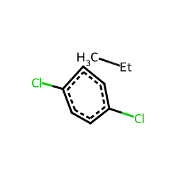 CCC.Clc1ccc(Cl)cc1